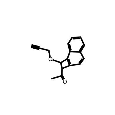 C#CCOC1c2c(ccc3ccccc23)C1C(C)=O